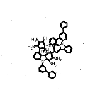 Bc1c(B)c(B)c(-c2cccc3c2c2c(B)c(-c4ccc5c(c4)c4ccccc4n5-c4ccc(-c5ccccc5)cc4-c4ccccc4)c(B)c(B)c2n3-c2cccc(-c3ccccc3)c2)c(B)c1B